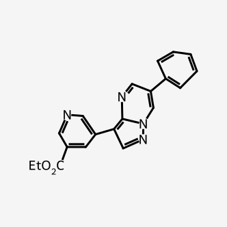 CCOC(=O)c1cncc(-c2cnn3cc(-c4ccccc4)cnc23)c1